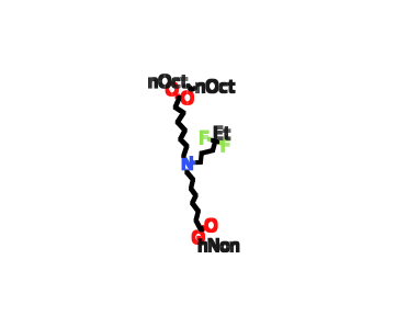 CCCCCCCCCOC(=O)CCCCCCCN(CCCCCCCC(=O)OC(CCCCCCCC)CCCCCCCC)CCCC(F)(F)CC